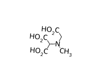 CN(CC(=O)O)C(C(=O)O)C(=O)O